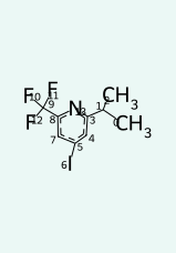 CC(C)c1cc(I)cc(C(F)(F)F)n1